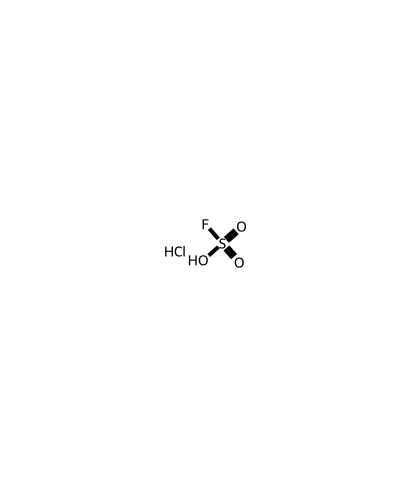 Cl.O=S(=O)(O)F